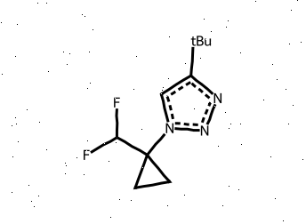 CC(C)(C)c1cn(C2(C(F)F)CC2)nn1